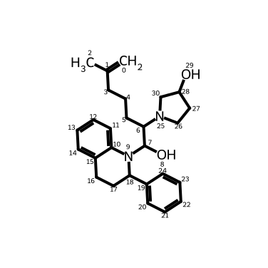 C=C(C)CCCC(C(O)N1c2ccccc2CCC1c1ccccc1)N1CCC(O)C1